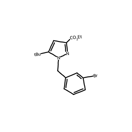 CCOC(=O)c1cc(C(C)(C)C)n(Cc2cccc(Br)c2)n1